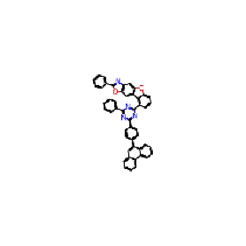 c1ccc(-c2nc(-c3ccc(-c4cc5ccccc5c5ccccc45)cc3)nc(-c3cccc4oc5cc6nc(-c7ccccc7)oc6cc5c34)n2)cc1